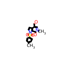 Cc1ccc(S(=O)(=O)n2ccc3c(C=O)cn(C)c(=O)c32)cc1